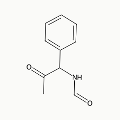 CC(=O)C(NC=O)c1ccccc1